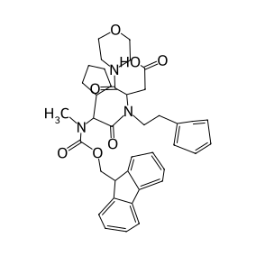 CN(C(=O)OCC1c2ccccc2-c2ccccc21)C(C(=O)N(CCc1ccccc1)C(CC(=O)O)C(=O)N1CCOCC1)C1CCCC1